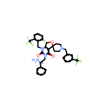 N[C@@H](Cn1c(=O)c2c(n(Cc3c(F)cccc3C(F)(F)F)c1=O)COC21CCN(Cc2cccc(C(F)(F)F)c2)CC1)c1ccccc1